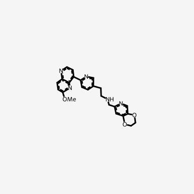 COc1ccc2nccc(-c3ccc(CCNCc4cc5c(cn4)OCCO5)cn3)c2n1